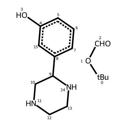 CC(C)(C)OC=O.Oc1cccc(C2CNCCN2)c1